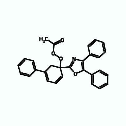 CC(=O)OOC1(c2nc(-c3ccccc3)c(-c3ccccc3)o2)C=CC=C(c2ccccc2)C1